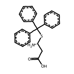 N[C@@H](CC(=O)O)SC(c1ccccc1)(c1ccccc1)c1ccccc1